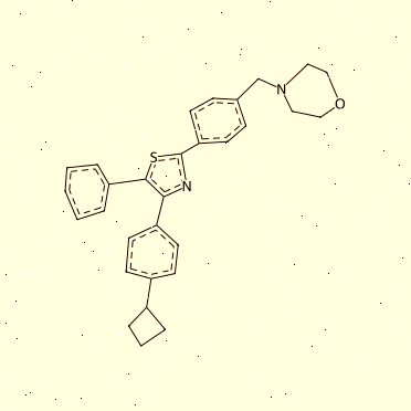 c1ccc(-c2sc(-c3ccc(CN4CCOCC4)cc3)nc2-c2ccc(C3CCC3)cc2)cc1